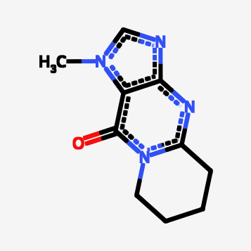 Cn1cnc2nc3n(c(=O)c21)CCCC3